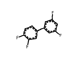 Fc1cc(F)cc(-c2ccc(F)c(F)c2)c1